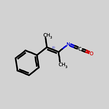 C/C(N=C=O)=C(/C)c1ccccc1